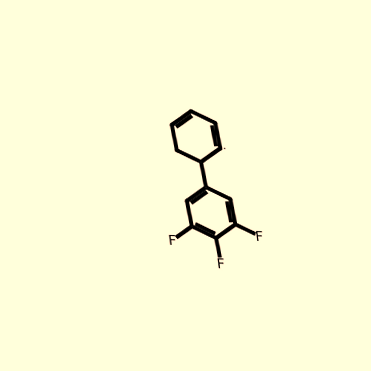 Fc1cc(C2[C]=CC=CC2)cc(F)c1F